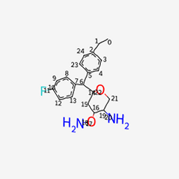 CCc1ccc(C(c2ccc(F)cc2)C2CC(ON)C(N)CO2)cc1